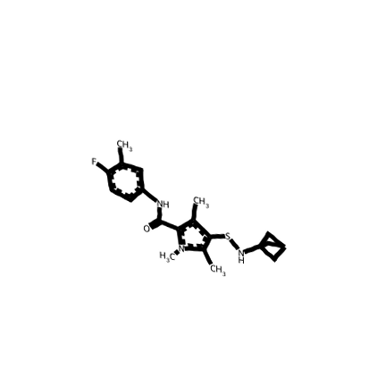 Cc1cc(NC(=O)c2c(C)c(SNC34CC(C3)C4)c(C)n2C)ccc1F